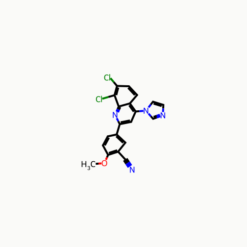 COc1ccc(-c2cc(-n3ccnc3)c3ccc(Cl)c(Cl)c3n2)cc1C#N